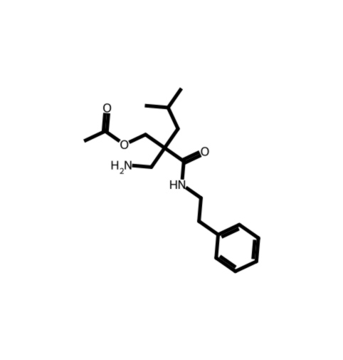 CC(=O)OCC(CN)(CC(C)C)C(=O)NCCc1ccccc1